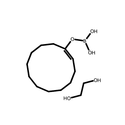 OB(O)OC1=CCCCCCCCCCC1.OCCO